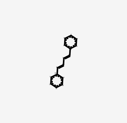 [C](=CC=[C]c1ccccc1)c1ccccc1